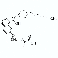 CCCCCCCN1CCN(C[C@@H](O)c2ccnc3ccc(OC)cc23)CC1.O=C(O)C(=O)O